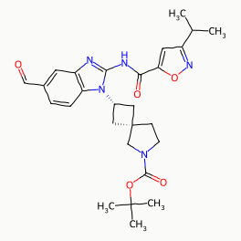 CC(C)c1cc(C(=O)Nc2nc3cc(C=O)ccc3n2[C@H]2C[C@@]3(CCN(C(=O)OC(C)(C)C)C3)C2)on1